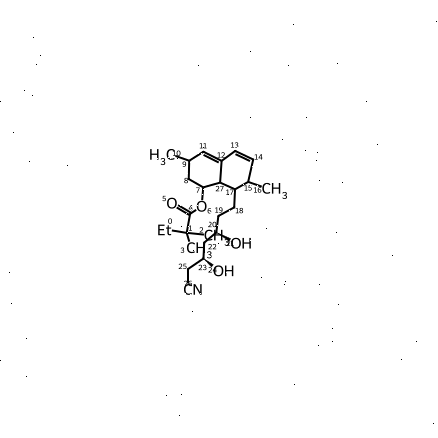 CCC(C)(C)C(=O)OC1CC(C)C=C2C=CC(C)C(CC[C@@H](O)C[C@@H](O)CC#N)C21